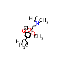 CCC(C)c1cc(OC)c(OCCCN(CC)CC)c(OC)c1